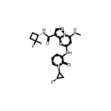 CNc1cc(Nc2cccn(C3C[C@H]3F)c2=O)nc2c(C(=O)N[C@H]3CCC3(F)F)cnn12